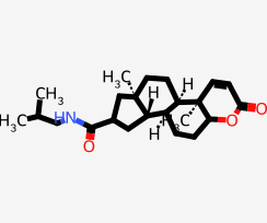 CC(C)CNC(=O)C1C[C@H]2[C@@H]3CCC4OC(=O)C=C[C@]4(C)[C@@H]3CC[C@]2(C)C1